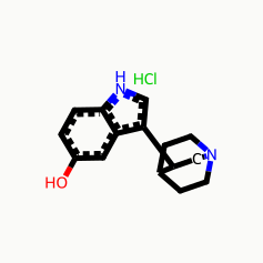 Cl.Oc1ccc2[nH]cc(C3CN4CCC3CC4)c2c1